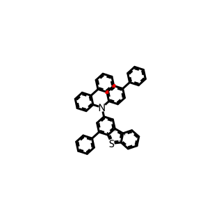 c1ccc(-c2ccc(N(c3cc(-c4ccccc4)c4sc5ccccc5c4c3)c3ccccc3-c3ccccc3)cc2)cc1